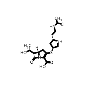 CC(Cl)NCC[C@H]1C[C@H](SC2=C(C(=O)O)N3C(=O)[C@H]([C@@H](C)O)[C@H]3C2)CN1